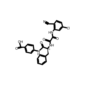 N#Cc1ccc(Cl)cc1NC(=O)C(=O)N[C@@H](Cc1ccccc1)C(=O)Nc1ccc(C(=O)O)cc1